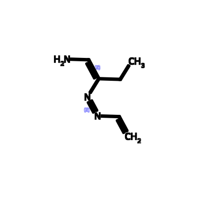 C=C/N=N\C(=C/N)CC